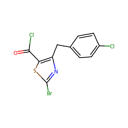 O=C(Cl)c1sc(Br)nc1Cc1ccc(Cl)cc1